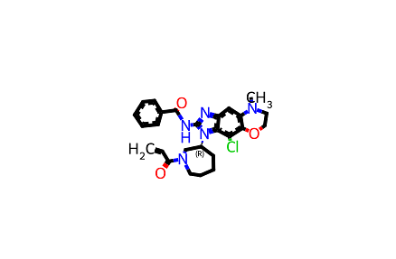 C=CC(=O)N1CCCC[C@@H](n2c(NC(=O)c3ccccc3)nc3cc4c(c(Cl)c32)OCCN4C)C1